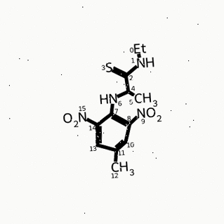 CCNC(=S)C(C)Nc1c([N+](=O)[O-])cc(C)cc1[N+](=O)[O-]